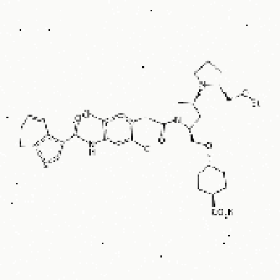 CCOC[C@@H]1CCCN1[C@H]1C[C@@H](CO[C@H]2CC[C@H](C(=O)O)CC2)N(C(=O)Cc2cc(Cl)c(NC(=O)c3csc4c3C=CCC4)cc2Cl)C1